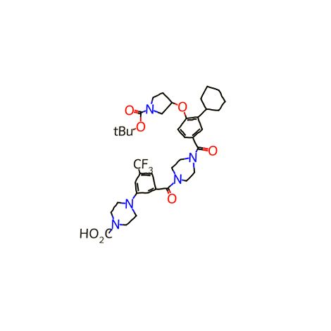 CC(C)(C)OC(=O)N1CCC(Oc2ccc(C(=O)N3CCN(C(=O)c4cc(N5CCN(C(=O)O)CC5)cc(C(F)(F)F)c4)CC3)cc2C2CCCCC2)C1